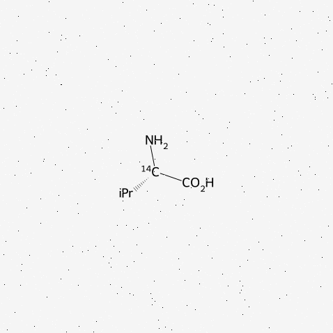 CC(C)[14C@H](N)C(=O)O